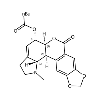 CCCCC(=O)O[C@H]1C=C2CCN(C)[C@H]2[C@@H]2c3cc4c(cc3C(=O)O[C@@H]21)OCO4